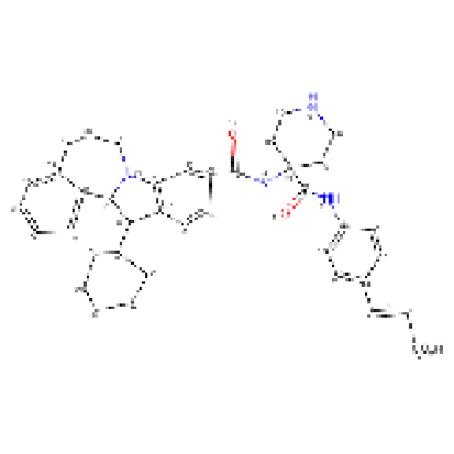 O=C(O)/C=C/c1ccc(NC(=O)C2(NC(=O)c3ccc4c(c3)N3CCCc5ccccc5C3C4C3CCCCC3)CCNCC2)cc1